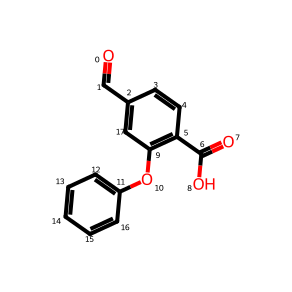 O=Cc1ccc(C(=O)O)c(Oc2ccccc2)c1